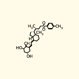 C=C1/C(=C\C=C2/CCC[C@]3(C)[C@@H]([C@H](C)CCS(=O)(=O)c4ccc(C)cc4)CC[C@@H]23)C[C@H](O)C[C@H]1O